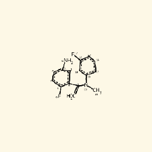 C=C(c1cc(N)ccc1F)N(C)c1cccc(F)c1